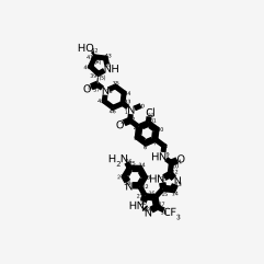 CN(C(=O)c1ccc(CNC(=O)c2ncc(-c3c(C(F)(F)F)n[nH]c3-c3ccc(N)cn3)[nH]2)cc1Cl)C1CCN(C(=O)[C@@H]2C[C@@H](O)CN2)CC1